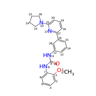 COc1ccccc1NC(=O)Nc1cccc(-c2cccc(N3CCCC3)n2)c1